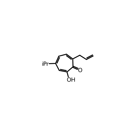 C=CCc1ccc(C(C)C)cc(O)c1=O